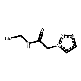 CC(C)(C)CNC(=O)Cn1ccnn1